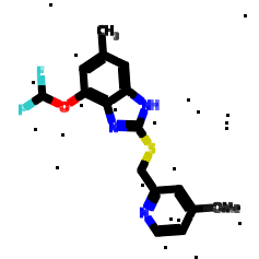 COc1ccnc(CSc2nc3c(OC(F)F)cc(C)cc3[nH]2)c1